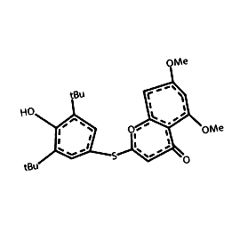 COc1cc(OC)c2c(=O)cc(Sc3cc(C(C)(C)C)c(O)c(C(C)(C)C)c3)oc2c1